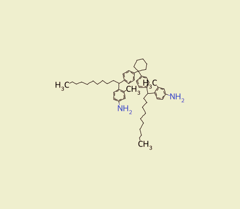 CCCCCCCCCCC(c1ccc(C2(c3ccc(C(CCCCCCCCCC)c4ccc(N)cc4C)cc3)CCCCC2)cc1)c1ccc(N)cc1C